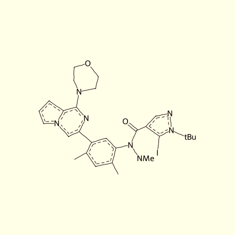 CNN(C(=O)c1cnn(C(C)(C)C)c1I)c1cc(-c2cn3cccc3c(N3CCOCC3)n2)c(C)cc1C